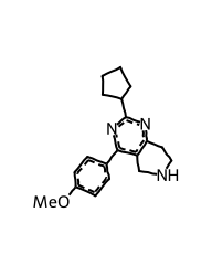 COc1ccc(-c2nc(C3CCCC3)nc3c2CNCC3)cc1